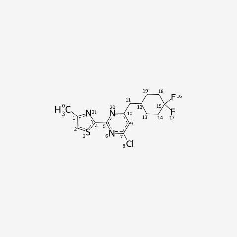 Cc1csc(-c2nc(Cl)cc(CC3CCC(F)(F)CC3)n2)n1